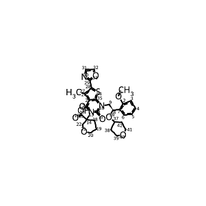 COc1ccccc1[C@H](Cn1c(=O)n(C2(C(=O)O)CCCOC2)c(=O)c2c(C)c(-c3ncco3)sc21)OC1CCOCC1